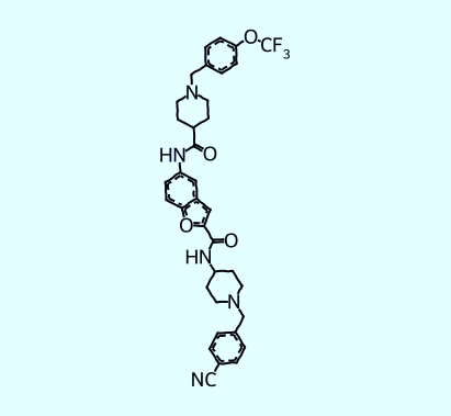 N#Cc1ccc(CN2CCC(NC(=O)c3cc4cc(NC(=O)C5CCN(Cc6ccc(OC(F)(F)F)cc6)CC5)ccc4o3)CC2)cc1